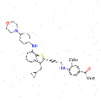 CNC(=O)c1ccc(NCC#Cc2sc3c(NC4CCC(N5CCOCC5)CC4)cccc3c2CC2CC2)c(OC)c1